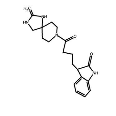 C=C1NCC2(CCN(C(=O)CCCC3C(=O)Nc4ccccc43)CC2)N1